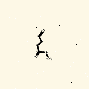 O=CCCC(=O)OO